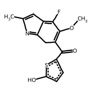 COC1=C(C(=O)c2ccc(O)s2)CC2=NC(C)=[C]C2=C1F